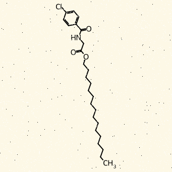 CCCCCCCCCCCCCCCCOC(=O)CNC(=O)c1ccc(Cl)cc1